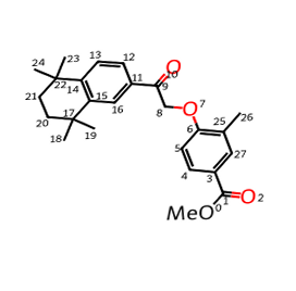 COC(=O)c1ccc(OCC(=O)c2ccc3c(c2)C(C)(C)CCC3(C)C)c(C)c1